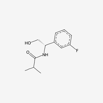 CC(C)C(=O)N[C@H](CO)c1cccc(F)c1